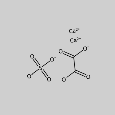 O=C([O-])C(=O)[O-].O=S(=O)([O-])[O-].[Ca+2].[Ca+2]